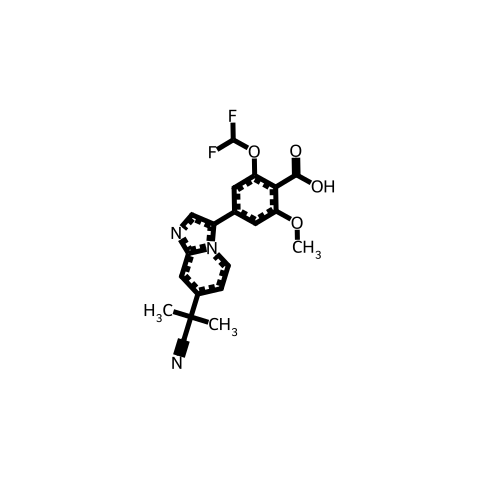 COc1cc(-c2cnc3cc(C(C)(C)C#N)ccn23)cc(OC(F)F)c1C(=O)O